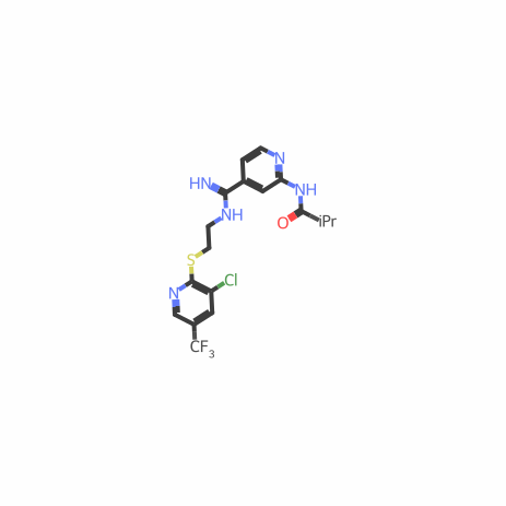 CC(C)C(=O)Nc1cc(C(=N)NCCSc2ncc(C(F)(F)F)cc2Cl)ccn1